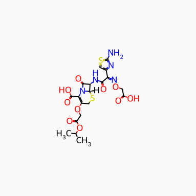 CC(C)OC(=O)COC1=C(C(=O)O)N2C(=O)[C@@H](NC(=O)/C(=N\OCC(=O)O)c3csc(N)n3)[C@@H]2SC1